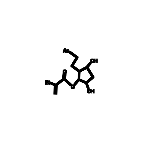 C=C(CC)C(=O)OC1C(O)CC(O)C1CCC(C)=O